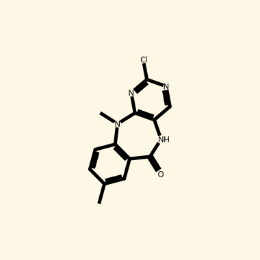 Cc1ccc2c(c1)C(=O)Nc1cnc(Cl)nc1N2C